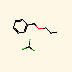 FB(F)F.[K][CH2]COCc1ccccc1